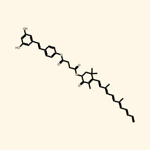 C=C/C=C/C=C(C)/C=C/C=C(C)/C=C/C1=C(C)C(=O)C(OC(=O)CCC(=O)Oc2ccc(/C=C/c3cc(O)cc(O)c3)cc2)CC1(C)C